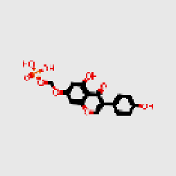 O=c1c(-c2ccc(O)cc2)coc2cc(OCOP(=O)(O)O)cc(O)c12